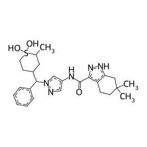 CC1CC(C(c2ccccc2)n2cc(NC(=O)c3n[nH]c4c3CCC(C)(C)C4)cn2)CCS1(O)O